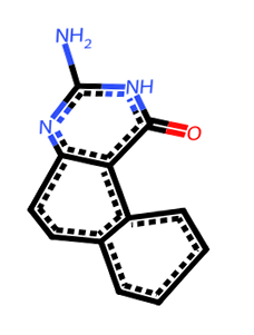 Nc1nc2ccc3ccccc3c2c(=O)[nH]1